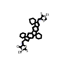 CCN1CS/C(=C\C2=Cc3cc4c(cc3C23CCCCC3)-c2cc3c(cc2C42CCCCC2)C=C(/C=C2\SC(=S)N(CC)C2=O)C32CCCCC2)C1=S